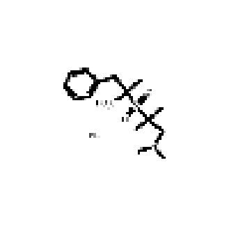 CN(C)CC(C)(C)S(=O)(=O)C(C)(Cc1ccccc1)C(=O)O.Cl